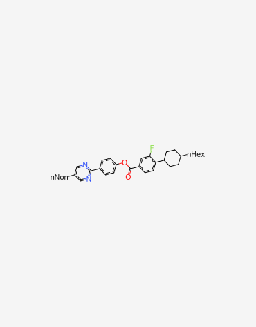 CCCCCCCCCc1cnc(-c2ccc(OC(=O)c3ccc(C4CCC(CCCCCC)CC4)c(F)c3)cc2)nc1